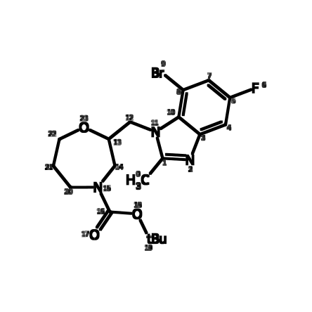 Cc1nc2cc(F)cc(Br)c2n1CC1CN(C(=O)OC(C)(C)C)CCCO1